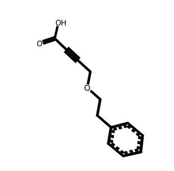 O=C(O)C#CCOCCc1ccccc1